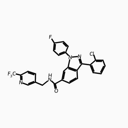 O=C(NCc1ccc(C(F)(F)F)nc1)c1ccc2c(-c3ccccc3Cl)nn(-c3ccc(F)cc3)c2c1